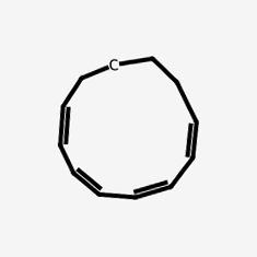 C1=CC=CCCCCC=CC=C1